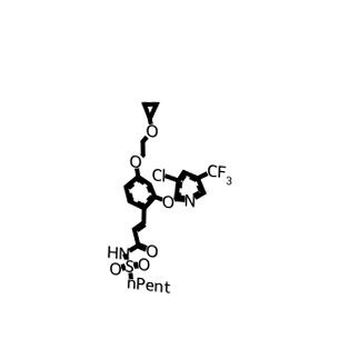 CCCCCS(=O)(=O)NC(=O)C=Cc1ccc(OCCOC2CC2)cc1Oc1ncc(C(F)(F)F)cc1Cl